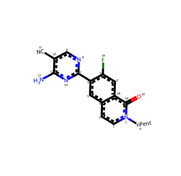 CCCCCn1ccc2cc(-c3ncc(C#N)c(N)n3)c(F)cc2c1=O